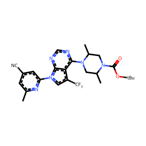 Cc1cc(C#N)cc(-n2cc(C(F)(F)F)c3c(N4CC(C)N(C(=O)OC(C)(C)C)CC4C)ncnc32)n1